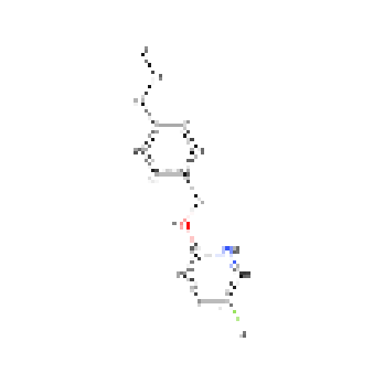 CCCc1ccc(COc2ccc(F)cn2)cc1